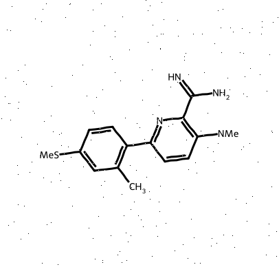 CNc1ccc(-c2ccc(SC)cc2C)nc1C(=N)N